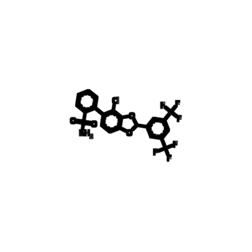 NS(=O)(=O)c1ccccc1-c1ccc2c(c1Cl)OC(c1cc(C(F)(F)F)cc(C(F)(F)F)c1)O2